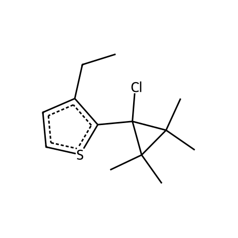 CCc1ccsc1C1(Cl)C(C)(C)C1(C)C